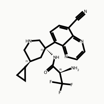 N#Cc1ccc([C@]2(NC(=O)[C@@H](N)C(F)(F)F)CNC[C@H](C3CC3)C2)c2nccnc12